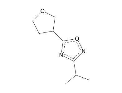 CC(C)c1noc(C2CCOC2)n1